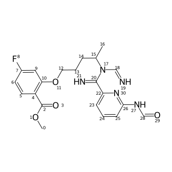 COC(=O)c1ccc(F)cc1OCCCC(C)N(C=N)C(=N)c1cccc(NC=O)n1